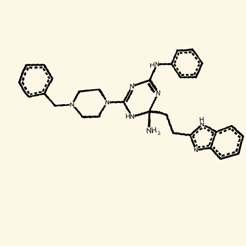 NC1(CCc2nc3ccccc3[nH]2)N=C(Nc2ccccc2)N=C(N2CCN(Cc3ccccc3)CC2)N1